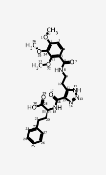 COc1ccc(C(=O)NCCc2[nH]nnc2C(=O)N[C@@H](CCc2ccccc2)C(=O)O)c(OC)c1OC